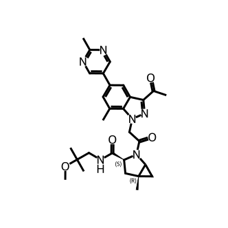 COC(C)(C)CNC(=O)[C@@H]1C[C@@]2(C)CC2N1C(=O)Cn1nc(C(C)=O)c2cc(-c3cnc(C)nc3)cc(C)c21